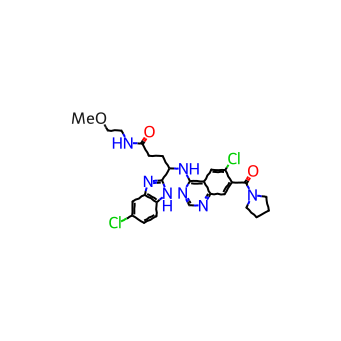 COCCNC(=O)CCC(Nc1ncnc2cc(C(=O)N3CCCC3)c(Cl)cc12)c1nc2cc(Cl)ccc2[nH]1